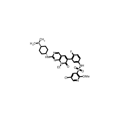 CCn1c(=O)c(-c2cc(NS(=O)(=O)c3cc(Cl)cnc3OC)ccc2F)cc2cnc(N[C@H]3CC[C@H](N(C)C)CC3)nc21